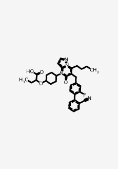 CCCCc1c(Cc2ccc(-c3ccccc3C#N)c(F)c2)c(=O)n(C2CCC(OC(CC)C(=O)O)CC2)c2ccnn12